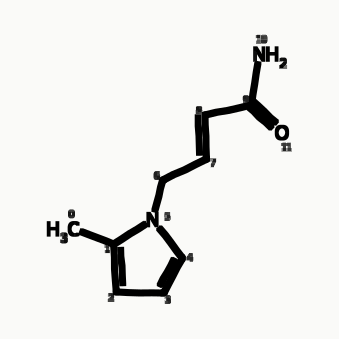 Cc1cccn1C/C=C/C(N)=O